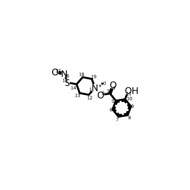 C[N+]1(OC(=O)c2ccccc2O)CCC(SN=O)CC1